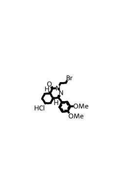 COc1ccc(C2=NN(CCBr)C(=O)[C@H]3CCCC[C@@H]23)cc1OC.Cl